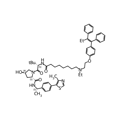 CCC(=C(c1ccccc1)c1ccc(OCCN(CC)CCCCCCCC(=O)N[C@H](C(=O)N2C[C@H](O)C[C@H]2C(=O)N[C@@H](C)c2ccc(-c3scnc3C)cc2)C(C)(C)C)cc1)c1ccccc1